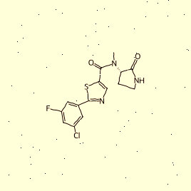 CN(C(=O)c1cnc(-c2cc(F)cc(Cl)c2)s1)[C@H]1CCNC1=O